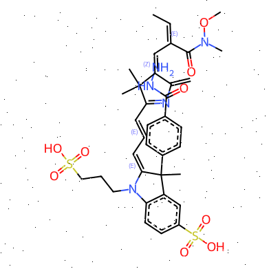 C=C1N=C(/C=C/C=C2/N(CCCS(=O)(=O)O)c3ccc(S(=O)(=O)O)cc3C2(C)c2ccc(C(=O)NN)cc2)C(C)(C)/C1=C/C(=C\C)C(=O)N(C)OC